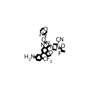 C=C(F)C(=O)N1CCN(c2nc(OC[C@@H]3COCCN3C)nc3cc(-c4cc(N)ccc4C(F)(F)F)c4c(c23)OCC4)C[C@@H]1CC#N